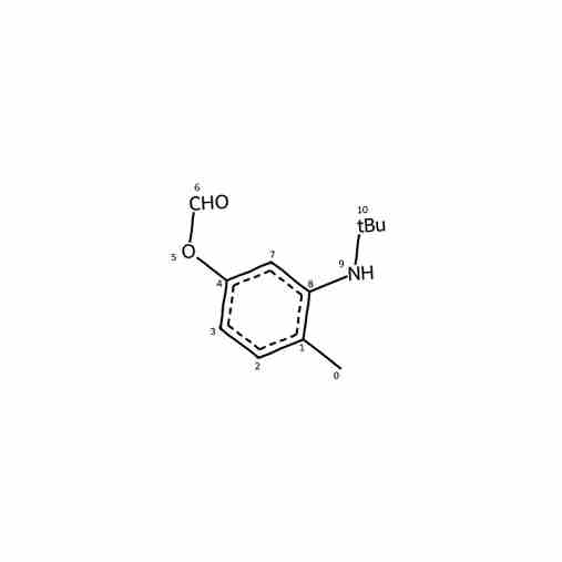 Cc1ccc(OC=O)cc1NC(C)(C)C